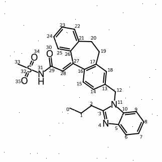 CCCc1nc2ccccc2n1Cc1ccc2c(c1)CCc1ccccc1C2=CC(=O)NS(C)(=O)=O